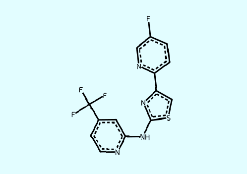 Fc1ccc(-c2csc(Nc3cc(C(F)(F)F)ccn3)n2)nc1